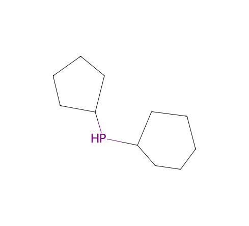 C1CCC(PC2CCCC2)CC1